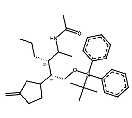 C=C1CCC([C@@H](CO[Si](c2ccccc2)(c2ccccc2)C(C)(C)C)[C@H](CCC)C(C)NC(C)=O)C1